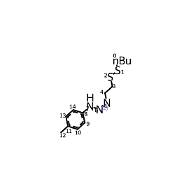 CCCCSSCC/N=N\Nc1ccc(C)cc1